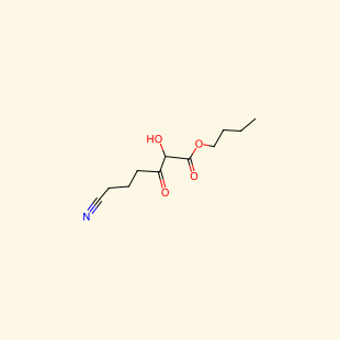 CCCCOC(=O)C(O)C(=O)CCCC#N